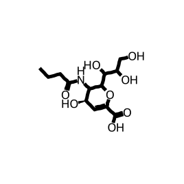 CCCC(=O)NC1C(C(O)C(O)CO)OC(C(=O)O)=C[C@H]1O